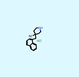 Cl.N#CC1(Cc2cccc3ccccc23)CCNCC1